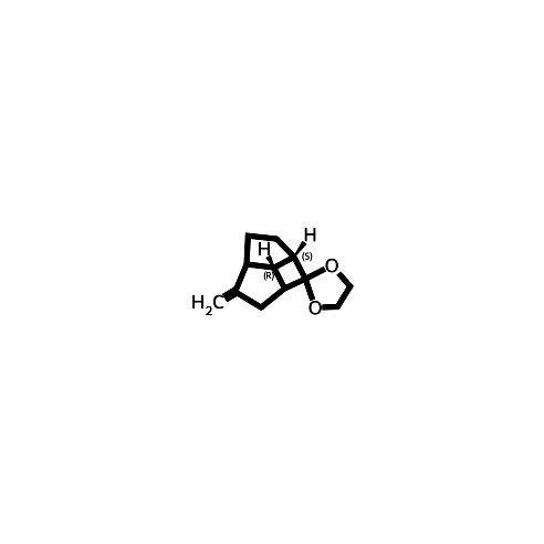 C=C1CC2[C@@H]3C1CC[C@@H]3C21OCCO1